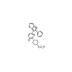 O=c1ccc(-c2c(-c3ccccc3)nn3ccccc23)nn1[C@H]1CC[C@H](C(=O)O)CC1